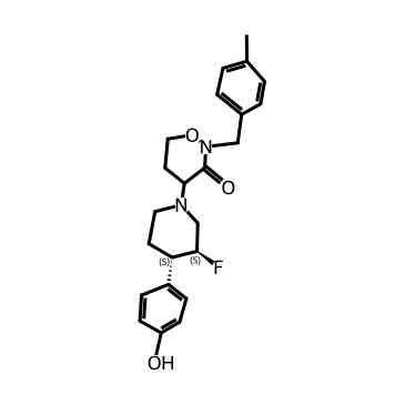 Cc1ccc(CN2OCCC(N3CC[C@@H](c4ccc(O)cc4)[C@H](F)C3)C2=O)cc1